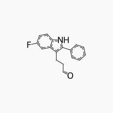 O=CCCc1c(-c2ccccc2)[nH]c2ccc(F)cc12